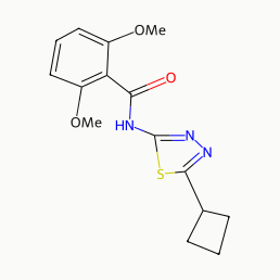 COc1cccc(OC)c1C(=O)Nc1nnc(C2CCC2)s1